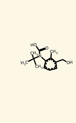 Cc1c(CO)cccc1N(C(=O)O)C(C)(C)C